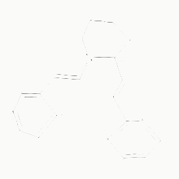 C(=C\C1CCCCN1/C=C/c1ccccc1)/c1ccccc1